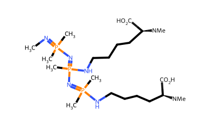 CN=P(C)(C)N=P(C)(N=P(C)(C)NCCCC[C@H](NC)C(=O)O)NCCCC[C@H](NC)C(=O)O